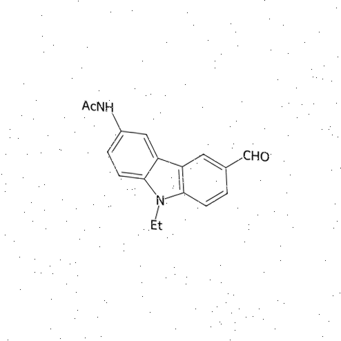 CCn1c2ccc(C=O)cc2c2cc(NC(C)=O)ccc21